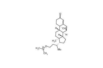 C[SiH](C)OCCC([C@H]1CC[C@H]2[C@@H]3C=CC4=CC(=O)CC[C@]4(C)[C@H]3CC[C@]12C)C(C)(C)C